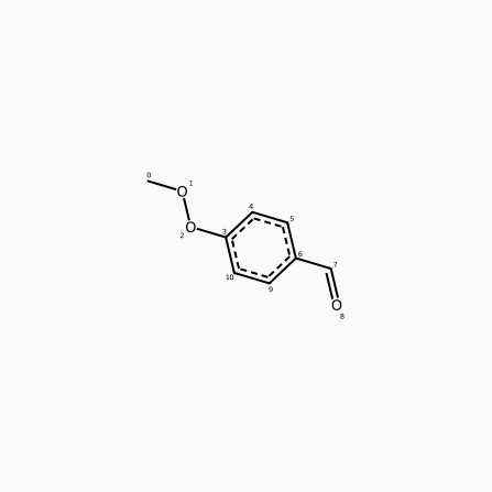 COOc1ccc(C=O)cc1